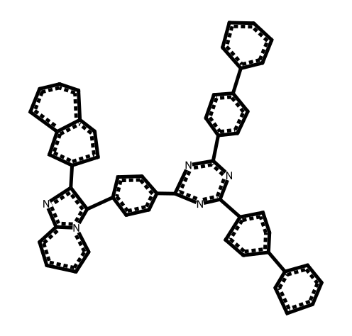 c1ccc(-c2ccc(-c3nc(-c4ccc(-c5ccccc5)cc4)nc(-c4ccc(-c5c(-c6ccc7ccccc7c6)nc6ccccn56)cc4)n3)cc2)cc1